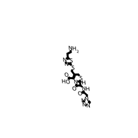 NCCc1nnc(SCC2=C(C(=O)O)N3C(=O)C(NC(=O)Cn4cnnn4)[C@H]3SC2)s1